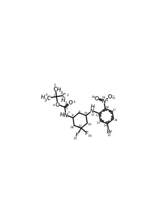 CC(C)(C)OC(=O)NC1CC(Nc2cc(Br)ccc2[N+](=O)[O-])CC(F)(F)C1